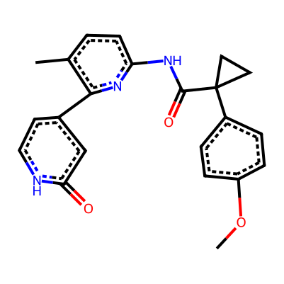 COc1ccc(C2(C(=O)Nc3ccc(C)c(-c4cc[nH]c(=O)c4)n3)CC2)cc1